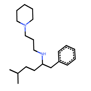 CC(C)CCC(Cc1ccccc1)NCCCN1CCCCC1